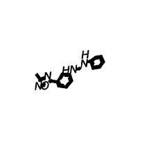 Cc1noc(-c2cccc(NCNc3ccccc3)c2)n1